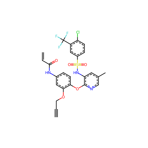 C#CCOc1cc(NC(=O)C=C)ccc1Oc1ncc(C)cc1NS(=O)(=O)c1ccc(Cl)c(C(F)(F)F)c1